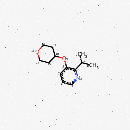 CC(C)c1ncccc1OC1CCOCC1